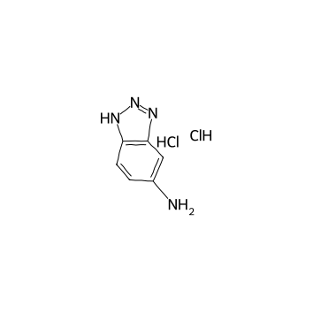 Cl.Cl.Nc1ccc2[nH]nnc2c1